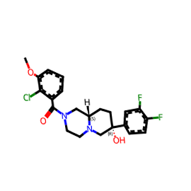 COc1cccc(C(=O)N2CCN3C[C@](O)(c4ccc(F)c(F)c4)CC[C@H]3C2)c1Cl